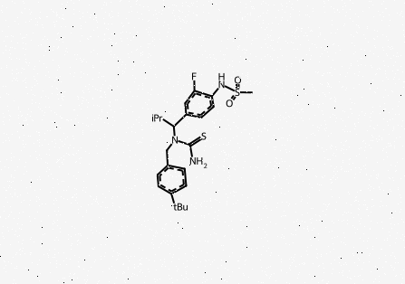 CC(C)C(c1ccc(NS(C)(=O)=O)c(F)c1)N(Cc1ccc(C(C)(C)C)cc1)C(N)=S